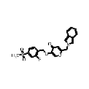 CS(=O)(=O)c1ccc(COc2coc(Cn3cc4ccccc4c3)cc2=O)c(F)c1